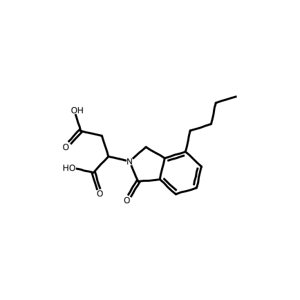 CCCCc1cccc2c1CN(C(CC(=O)O)C(=O)O)C2=O